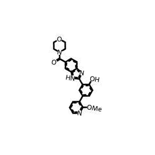 COc1ncccc1-c1ccc(O)c(-c2nc3ccc(C(=O)N4CCOCC4)cc3[nH]2)c1